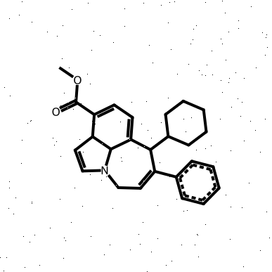 COC(=O)C1=CC=C2C(C3CCCCC3)C(c3ccccc3)=CCN3C=CC1C23